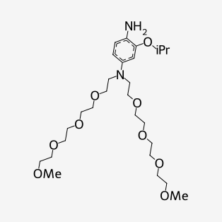 COCCOCCOCCOCCN(CCOCCOCCOCCOC)c1ccc(N)c(OC(C)C)c1